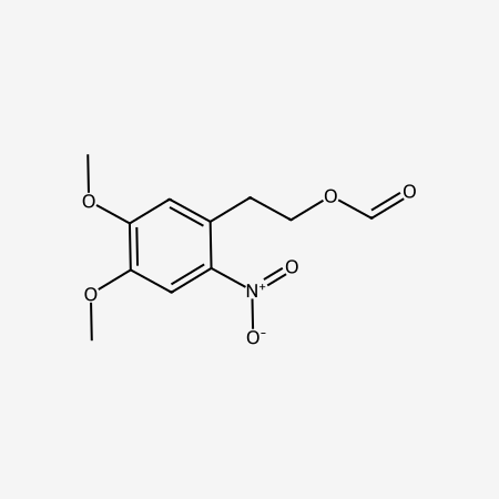 COc1cc(CCOC=O)c([N+](=O)[O-])cc1OC